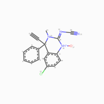 C#CC1(c2ccccc2)c2cc(Cl)ccc2[NH+]([O-])C(=NC#N)N1C